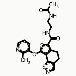 CC(=O)NCCNC(=O)c1sc(Oc2cccnc2C)c2c1CCc1cnsc1-2